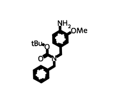 COc1cc(CN(Cc2ccccc2)C(=O)OC(C)(C)C)ccc1N